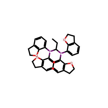 CCC(P(c1cccc2c1OCC2)c1cccc2c1OCC2)P(c1cccc2c1OCC2)c1cccc2c1OCC2